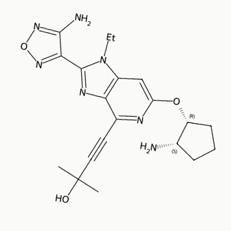 CCn1c(-c2nonc2N)nc2c(C#CC(C)(C)O)nc(O[C@@H]3CCC[C@@H]3N)cc21